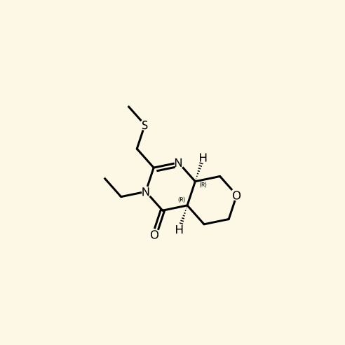 CCN1C(=O)[C@@H]2CCOC[C@@H]2N=C1CSC